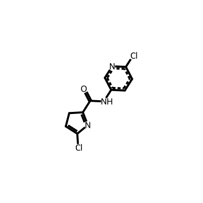 O=C(Nc1ccc(Cl)nc1)C1=NC(Cl)=CC1